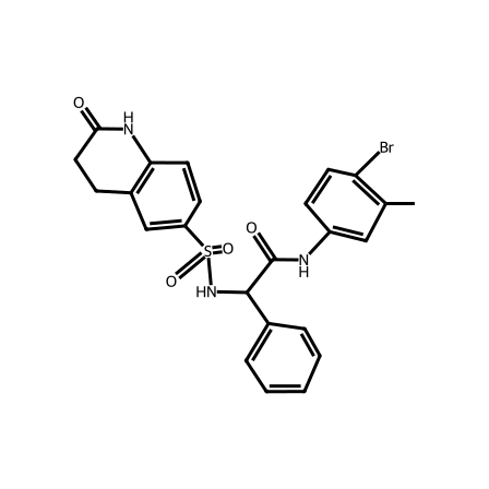 Cc1cc(NC(=O)C(NS(=O)(=O)c2ccc3c(c2)CCC(=O)N3)c2ccccc2)ccc1Br